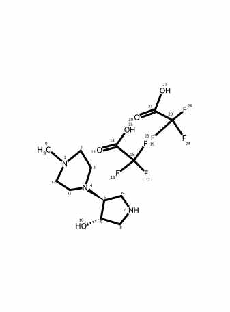 CN1CCN([C@H]2CNC[C@@H]2O)CC1.O=C(O)C(F)(F)F.O=C(O)C(F)(F)F